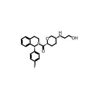 O=C([C@@H]1CC[C@H](NCCO)CO1)N1CCc2ccccc2[C@@H]1c1ccc(F)cc1